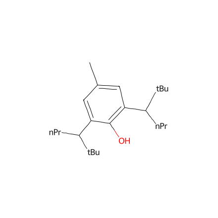 CCCC(c1cc(C)cc(C(CCC)C(C)(C)C)c1O)C(C)(C)C